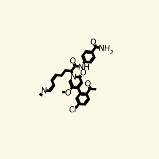 C=N/C=C\C=C/CCC(C(=O)Nc1ccc(C(N)=O)cc1)n1cc(OC)c(-c2cc(Cl)ccc2C(C)=O)cc1=O